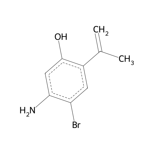 C=C(C)c1cc(Br)c(N)cc1O